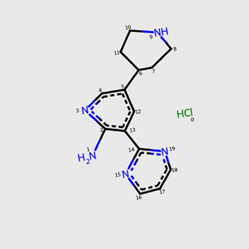 Cl.Nc1ncc(C2CCNCC2)cc1-c1ncccn1